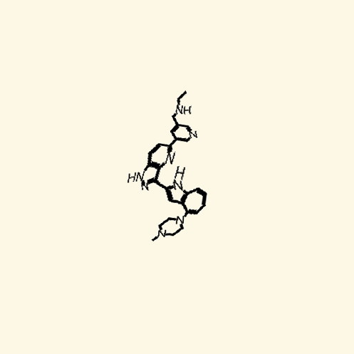 CCNCc1cncc(-c2ccc3[nH]nc(-c4cc5c([nH]4)C=C=CC=C5N4CCN(C)CC4)c3n2)c1